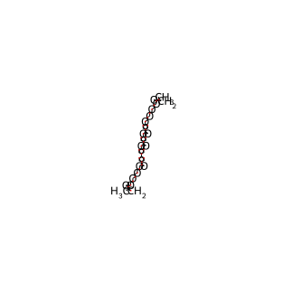 C=C(C)C(=O)OCCOCCOCCOC(=O)c1ccc(-c2ccc(OC(=O)c3ccc(OC(=O)c4ccc(OCCOCCOCCOC(=O)C(=C)C)cc4)cc3)cc2)cc1